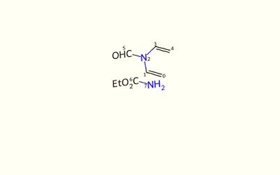 C=CN(C=C)C=O.CCOC(N)=O